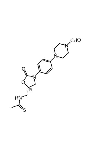 CC(=S)NC[C@H]1CN(c2ccc(N3CCN(C=O)CC3)cc2)C(=O)O1